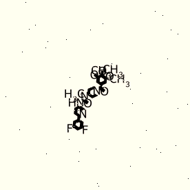 COc1cc(C(=O)N2CCC(N(C)C(=O)Nc3ccc(-c4cc(F)cc(F)c4)nc3)CC2)cc(OC)c1OC